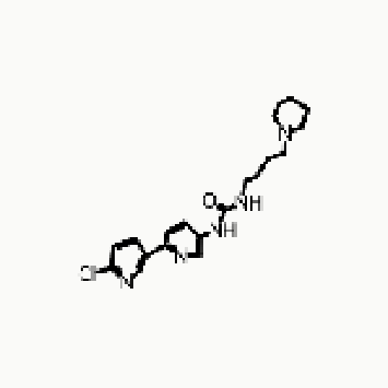 O=C(NCCCCN1CCCCC1)Nc1ccc(-c2ccc(Cl)nc2)nc1